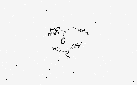 NCC(=O)O.[NaH].[OH][AlH][OH]